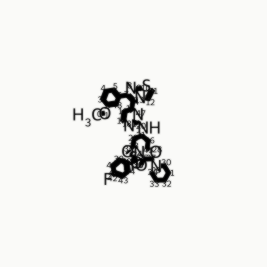 COc1cccc(-c2nc3sccn3c2-c2ccnc(NC3CC[N+](C(O)C(=O)N4CCCCC4)(S(=O)(=O)c4ccc(F)cc4)CC3)n2)c1